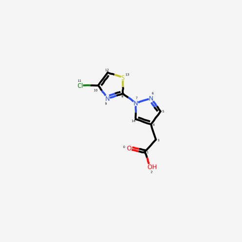 O=C(O)Cc1cnn(-c2nc(Cl)cs2)c1